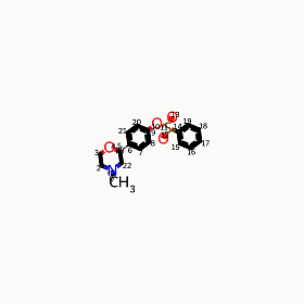 CN1CCO[C@H](c2ccc(OS(=O)(=O)c3ccccc3)cc2)C1